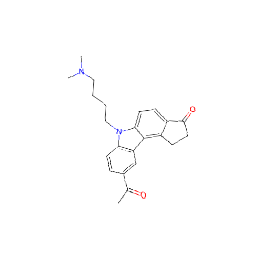 CC(=O)c1ccc2c(c1)c1c3c(ccc1n2CCCCN(C)C)C(=O)CC3